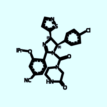 CC(C)Oc1cc(C#N)ccc1C1=N[C@@H](c2ccns2)[C@@H](c2ccc(Cl)cc2)N1C(=O)N1CCNC(=O)C1